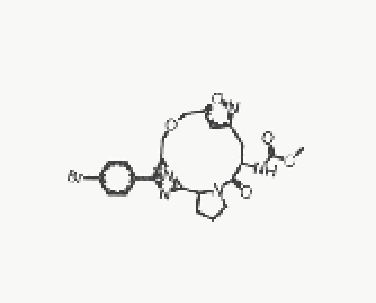 COC(=O)NC1Cc2cc(on2)COCc2[nH]c(nc2-c2ccc(Br)cc2)C2CCCN2C1=O